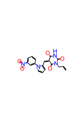 C=CCN1C(=O)NC(=O)/C(=C/c2cccn2-c2cccc([N+](=O)[O-])c2)C1=O